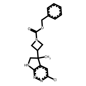 CC1(C2CN(C(=O)OCc3ccccc3)C2)CNc2nnc(Cl)cc21